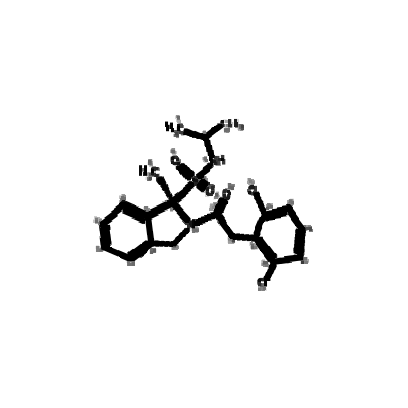 CC(C)NS(=O)(=O)[C@@]1(C)c2ccccc2CN1C(=O)Cc1c(Cl)cccc1Cl